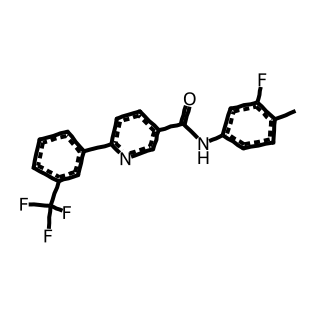 Cc1ccc(NC(=O)c2ccc(-c3cccc(C(F)(F)F)c3)nc2)cc1F